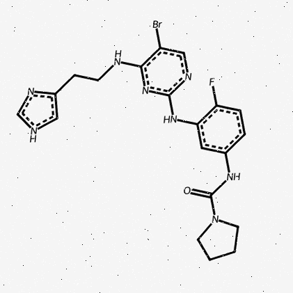 O=C(Nc1ccc(F)c(Nc2ncc(Br)c(NCCc3c[nH]cn3)n2)c1)N1CCCC1